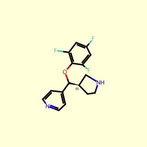 Fc1cc(F)c(OC(c2ccncc2)[C@@H]2CCNC2)c(F)c1